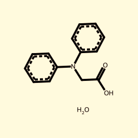 O.O=C(O)CN(c1ccccc1)c1ccccc1